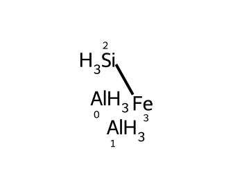 [AlH3].[AlH3].[SiH3][Fe]